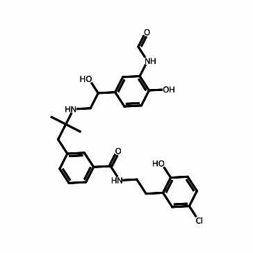 CC(C)(Cc1cccc(C(=O)NCCc2cc(Cl)ccc2O)c1)NCC(O)c1ccc(O)c(NC=O)c1